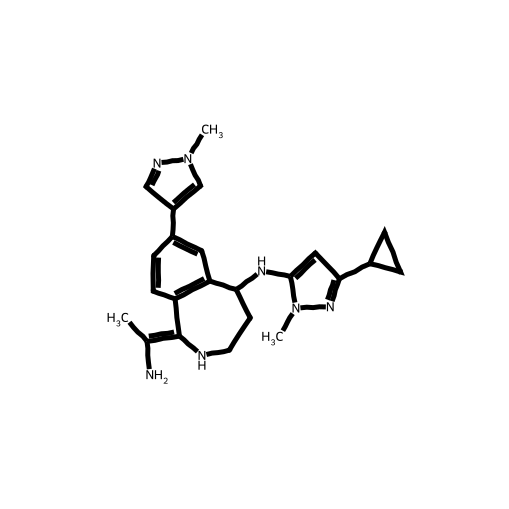 C/C(N)=C1/NCCC(Nc2cc(C3CC3)nn2C)c2cc(-c3cnn(C)c3)ccc21